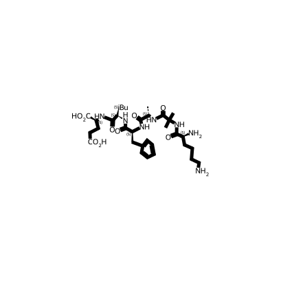 CC[C@H](C)[C@H](NC(=O)[C@H](Cc1ccccc1)NC(=O)[C@H](C)NC(=O)C(C)(C)NC(=O)[C@@H](N)CCCCN)C(=O)N[C@@H](CCC(=O)O)C(=O)O